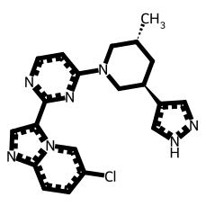 C[C@@H]1C[C@@H](c2cn[nH]c2)CN(c2ccnc(-c3cnc4ccc(Cl)cn34)n2)C1